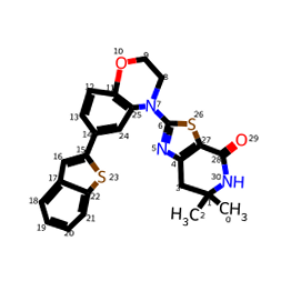 CC1(C)Cc2nc(N3CCOc4ccc(-c5cc6ccccc6s5)cc43)sc2C(=O)N1